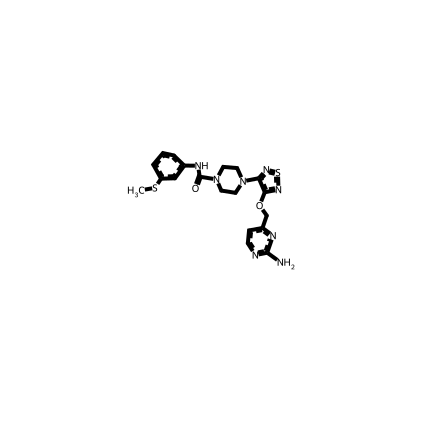 CSc1cccc(NC(=O)N2CCN(c3nsnc3OCc3ccnc(N)n3)CC2)c1